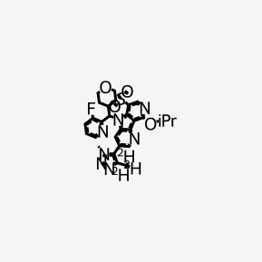 [2H]C([2H])([2H])c1nnn(C)c1-c1cnc2c3c(OC(C)C)ncc(S(C)(=O)=O)c3n(C(c3ncccc3F)C3CCOCC3)c2c1